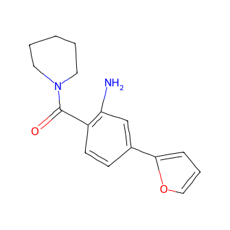 Nc1cc(-c2ccco2)ccc1C(=O)N1CCCCC1